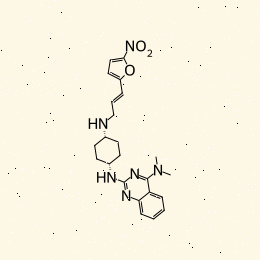 CN(C)c1nc(N[C@H]2CC[C@@H](NC/C=C/c3ccc([N+](=O)[O-])o3)CC2)nc2ccccc12